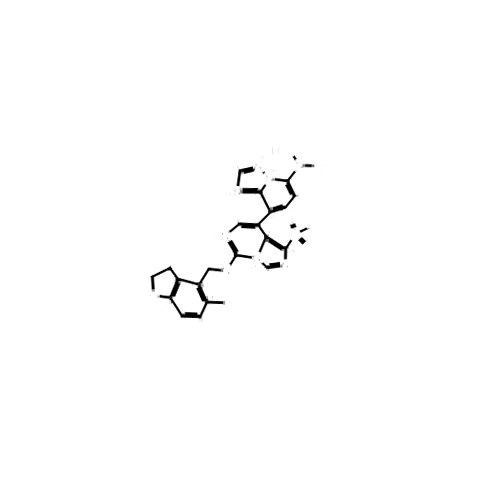 CN(C)c1ccc(-c2cnc(NCc3c(F)ccc4c3CCO4)n3cnc(S(C)(=O)=O)c23)c2ncnn12